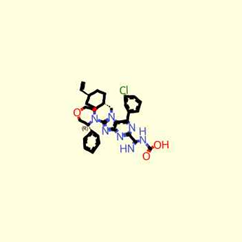 C=C[C@H]1CC[C@H](Cn2c(N3CCOC[C@H]3c3ccccc3)nc3nc(C(=N)NC(=O)O)nc(-c4cccc(Cl)c4)c32)CC1